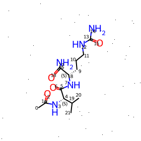 CC(=O)N[C@H](C(=O)N[C@@H](CCCNC(N)=O)C(N)=O)C(C)C